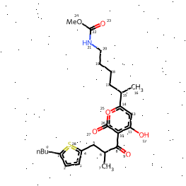 CCCCc1ccc(CC(C)C(=O)c2c(O)cc(C(C)CCCCNC(=O)OC)oc2=O)s1